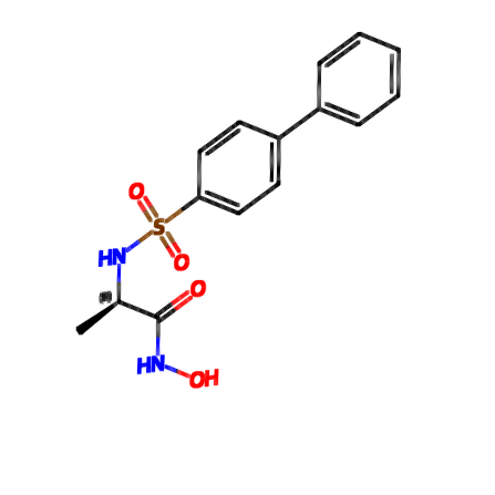 C[C@@H](NS(=O)(=O)c1ccc(-c2ccccc2)cc1)C(=O)NO